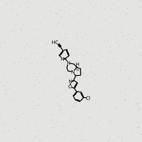 C#Cc1ccc(N2CCN3C(c4cc(-c5cccc(Cl)c5)on4)CC[C@H]3C2)nc1